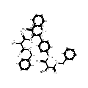 CCCC(C(=O)OCc1ccccc1)C(=O)Oc1ccc(-c2oc3ccccc3c(=O)c2OC(=O)C(CCC)C(=O)OCc2ccccc2)cc1